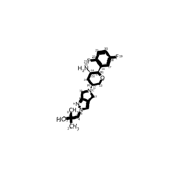 CC(C)(O)Cn1cc2c(n1)CN([C@H]1CO[C@H](c3cc(F)ccc3F)[C@@H](N)C1)C2